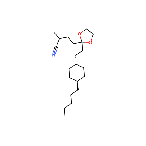 CCCCC[C@H]1CC[C@H](CCC2(CCC(C)C#N)OCCO2)CC1